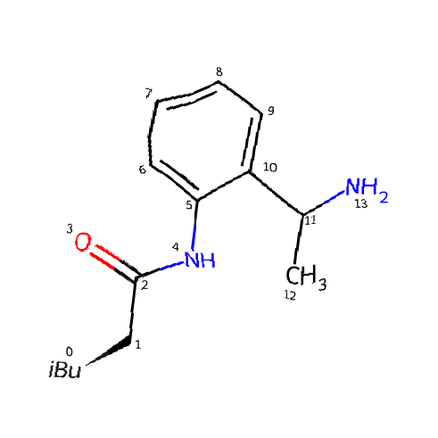 CC[C@H](C)CC(=O)Nc1ccccc1C(C)N